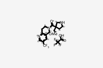 COCC1(C(=O)N2CCc3ncc(C(F)(F)F)cc3C2)CCNC1.O=C(O)C(F)(F)F